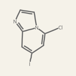 Clc1cc(I)cc2nccn12